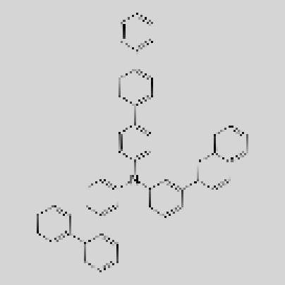 c1ccc(-c2ccc(-c3ccc(N(c4cccc(-c5ccc6ccccc6c5)c4)c4cccc(-c5ccccc5-c5ccccc5)c4)cc3)cc2)cc1